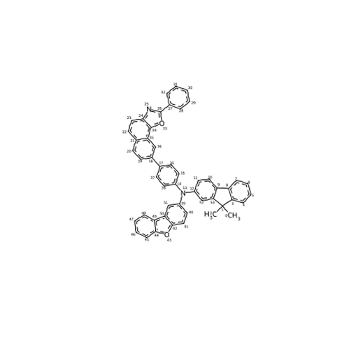 CC1(C)c2ccccc2-c2ccc(N(c3ccc(-c4ccc5ccc6nc(-c7ccccc7)oc6c5c4)cc3)c3ccc4oc5ccccc5c4c3)cc21